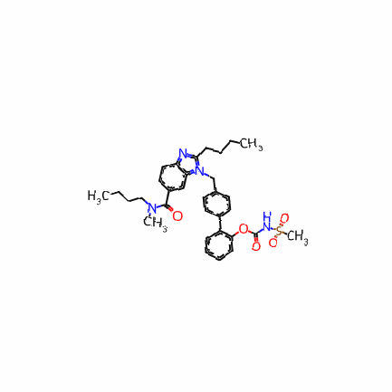 CCCCc1nc2ccc(C(=O)N(C)CCCC)cc2n1Cc1ccc(-c2ccccc2OC(=O)NS(C)(=O)=O)cc1